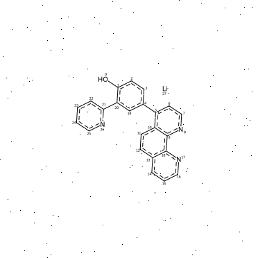 Oc1ccc(-c2ccnc3c2ccc2cccnc23)cc1-c1ccccn1.[Li]